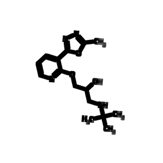 Cc1nnc(-c2cccnc2OCC(O)CNC(C)(C)C)o1